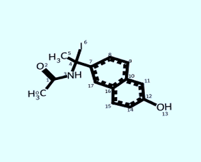 CC(=O)NC(C)(I)c1ccc2cc(O)ccc2c1